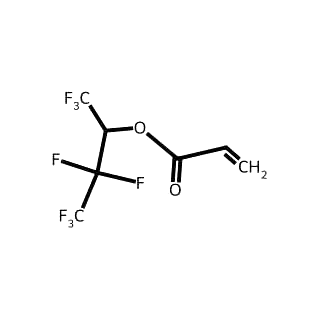 C=CC(=O)OC(C(F)(F)F)C(F)(F)C(F)(F)F